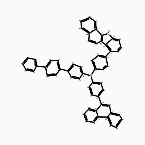 c1ccc(-c2ccc(-c3ccc(N(c4ccc(-c5cc6ccccc6c6ccccc56)cc4)c4ccc(-c5cccc6oc7c8ccccc8ccc7c56)cc4)cc3)cc2)cc1